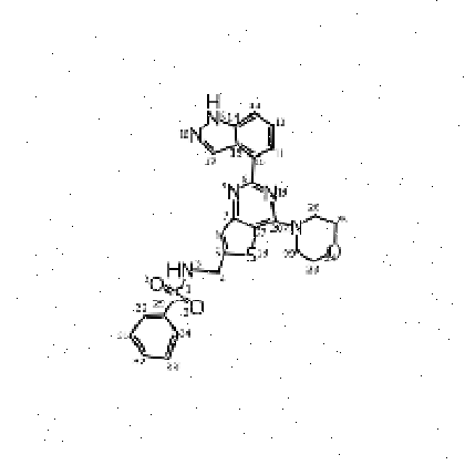 O=S(=O)(NCc1cc2nc(-c3cccc4[nH]ncc34)nc(N3CCOCC3)c2s1)c1ccccc1